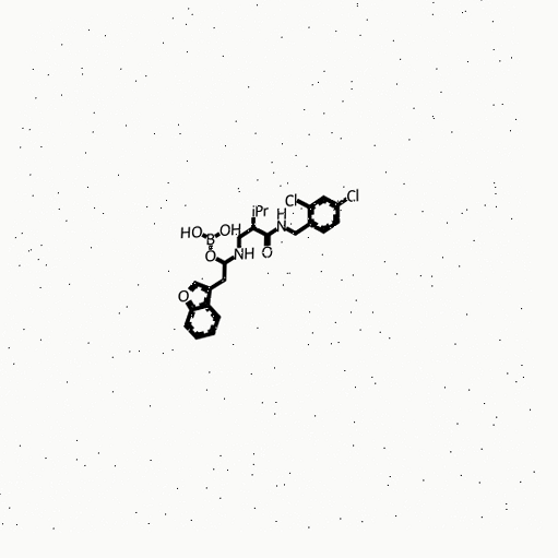 CC(C)C(CNC(Cc1coc2ccccc12)OB(O)O)C(=O)NCc1ccc(Cl)cc1Cl